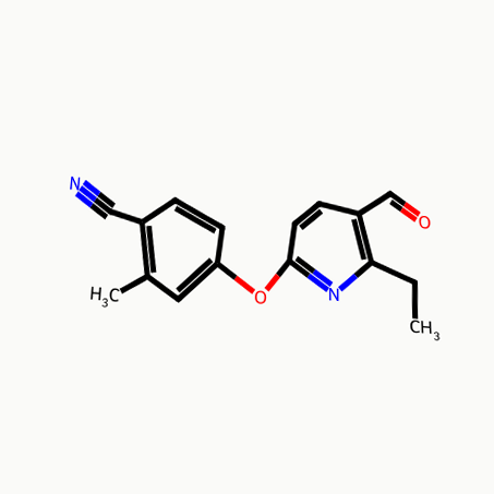 CCc1nc(Oc2ccc(C#N)c(C)c2)ccc1C=O